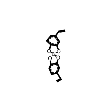 C=Cc1ccc2c(c1)O[B-]1(O2)Oc2ccc(C=C)cc2O1